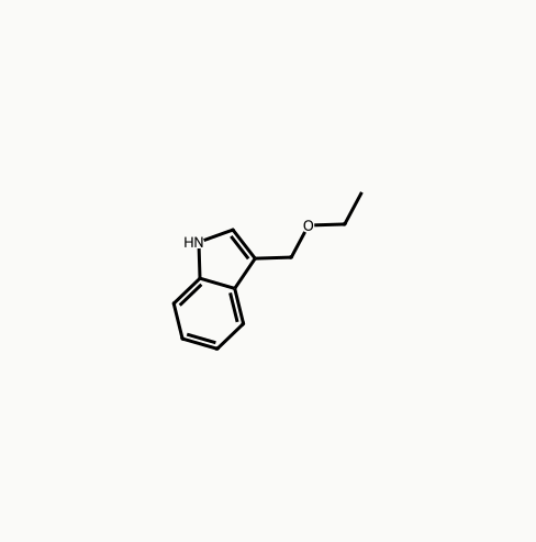 CCOCc1c[nH]c2ccccc12